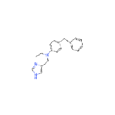 CCN(Cc1c[nH]cn1)c1ccc(Cc2ccccc2)cc1